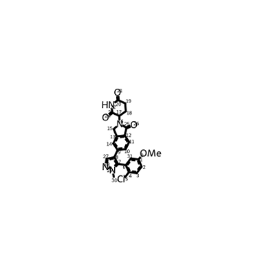 COc1ccc(Cl)c(-c2c(-c3ccc4c(c3)CN(C3CCC(=O)NC3=O)C4=O)cnn2C)c1